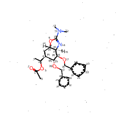 CC(=O)OC(C)[C@H]1C[C@@H]2OC(N(C)C)=N[C@H]2[C@@H](OCc2ccccc2)[C@@H]1OCc1ccccc1